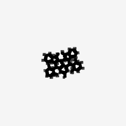 Cc1cc2c3c(c1)B(c1c(C)cccc1C)c1c(n(C)c4ccccc14)N3c1c(c3ccccc3n1C)B2c1c(C)cccc1C